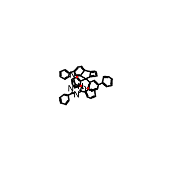 c1ccc(-c2ccc3c(c2)C2(c4ccccc4O3)c3ccccc3-c3ccc4c5ccccc5n(-c5nc(-c6ccccc6)nc(-c6ccccc6)n5)c4c32)cc1